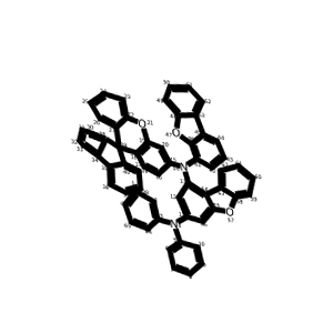 c1ccc(N(c2ccccc2)c2cc(N(c3ccc4c(c3)Oc3ccccc3C43c4ccccc4-c4ccccc43)c3cccc4c3oc3ccccc34)c3c(c2)oc2ccccc23)cc1